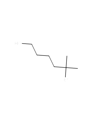 CCC(C)(C)CCCCO